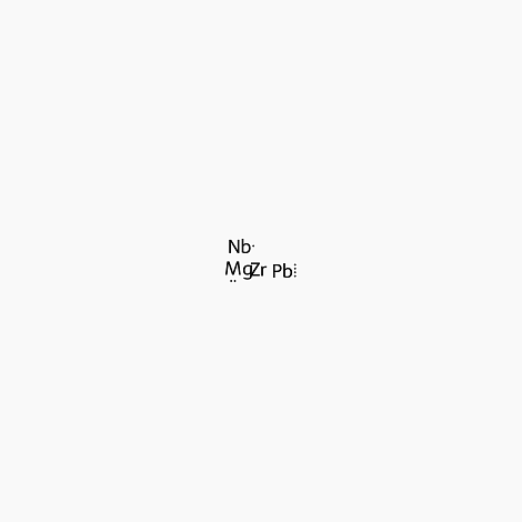 [Mg].[Nb].[Pb].[Zr]